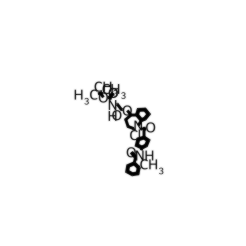 Cc1ccccc1C(=O)Nc1ccc(C(=O)N2c3ccccc3C(OC(=O)CNC(=O)OC(C)(C)C)CCC2Cl)cc1